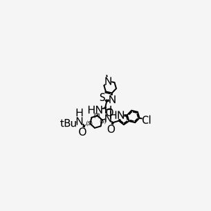 CN1CCc2nc(C(=O)N[C@@H]3C[C@@H](C(=O)NC(C)(C)C)CC[C@@H]3NC(=O)c3cc4cc(Cl)ccc4[nH]3)sc2C1